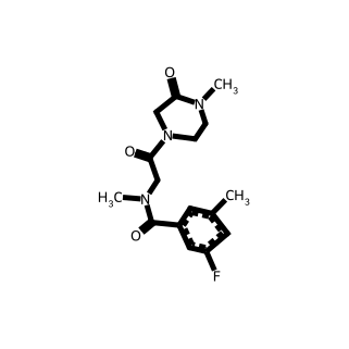 Cc1cc(F)cc(C(=O)N(C)CC(=O)N2CCN(C)C(=O)C2)c1